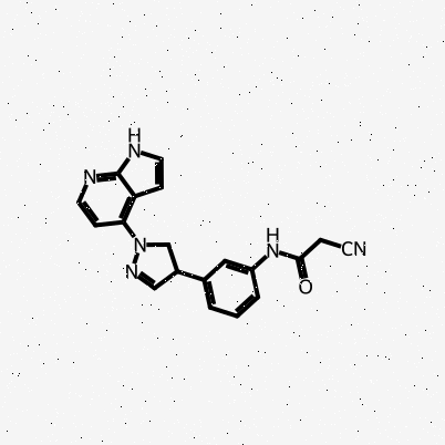 N#CCC(=O)Nc1cccc(C2C=NN(c3ccnc4[nH]ccc34)C2)c1